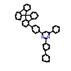 c1ccc(-c2ccc(-c3nc(-c4ccccc4)cc(-c4ccc(-c5cccc6c5-c5ccccc5C65c6ccccc6-c6ccccc65)cc4)n3)cc2)cc1